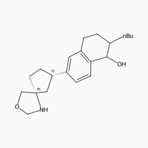 CCCCC1CCc2cc([C@H]3CC[C@]4(COCN4)C3)ccc2C1O